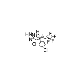 C[C@@H](CSC(F)(F)C(F)F)[C@](O)(Cc1nc[nH]n1)c1ccc(Cl)cc1Cl